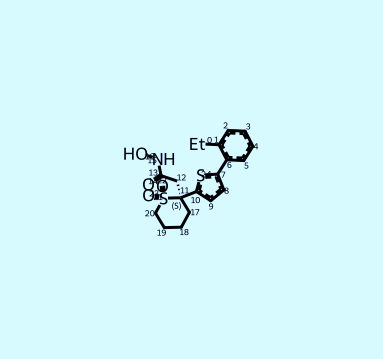 CCc1ccccc1-c1ccc([C@@]2(CC(=O)NO)CCCCS2(=O)=O)s1